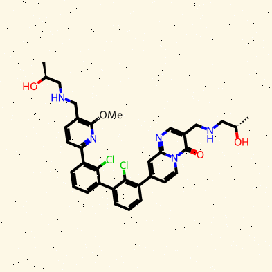 COc1nc(-c2cccc(-c3cccc(-c4ccn5c(=O)c(CNC[C@H](C)O)cnc5c4)c3Cl)c2Cl)ccc1CNC[C@H](C)O